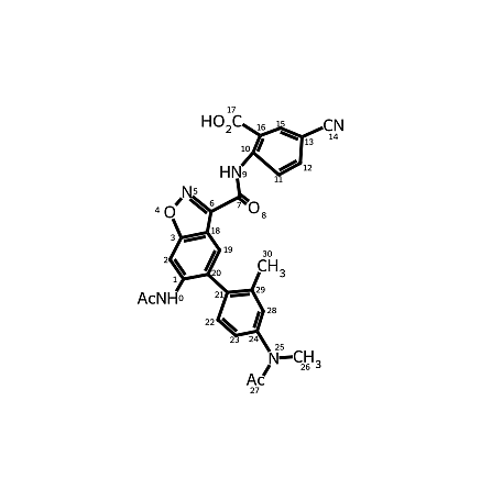 CC(=O)Nc1cc2onc(C(=O)Nc3ccc(C#N)cc3C(=O)O)c2cc1-c1ccc(N(C)C(C)=O)cc1C